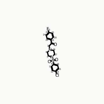 O=C(CN1CCN(S(=O)(=O)c2ccc(Cl)cc2)CC1)c1ccc(F)cc1